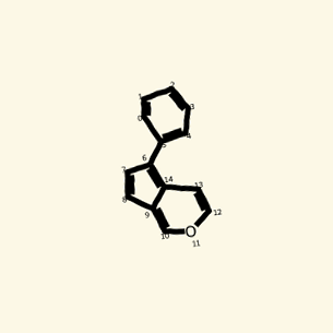 [c]1ccccc1-c1ccc2coccc1-2